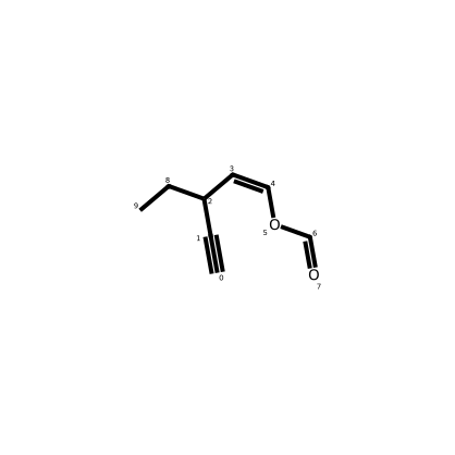 C#CC(/C=C\OC=O)CC